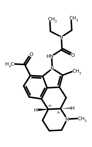 CCN(CC)C(=O)Nn1c(C)c2c3c(ccc(C(C)=O)c31)[C@H]1CCCN(C)[C@@H]1C2